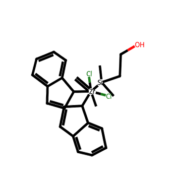 [CH2]=[Zr]([CH3])([Cl])([Cl])([CH]1C=Cc2ccccc21)([CH]1C=Cc2ccccc21)[Si](C)(C)CCO